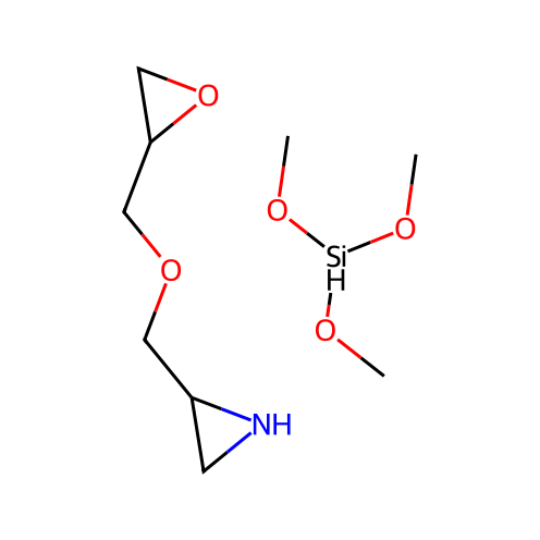 C1NC1COCC1CO1.CO[SiH](OC)OC